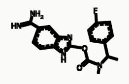 CC(c1ccc(F)cc1)N(C)C(=O)Oc1nc2cc(C(=N)N)ccc2[nH]1